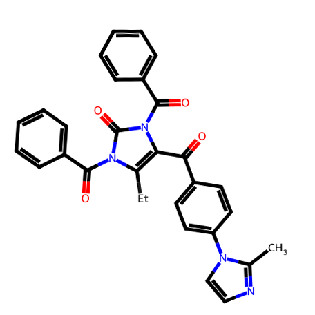 CCc1c(C(=O)c2ccc(-n3ccnc3C)cc2)n(C(=O)c2ccccc2)c(=O)n1C(=O)c1ccccc1